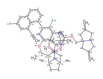 C#Cc1cc(F)cc2cccc(-c3nc4c5c(nc(OCC67CC(=C)CN6CC(=C)C7)nc5c3F)N3C[C@H]5CC[C@@H]([C@H]3[C@H](C)O4)N5C(=O)OC(C)(C)C)c12